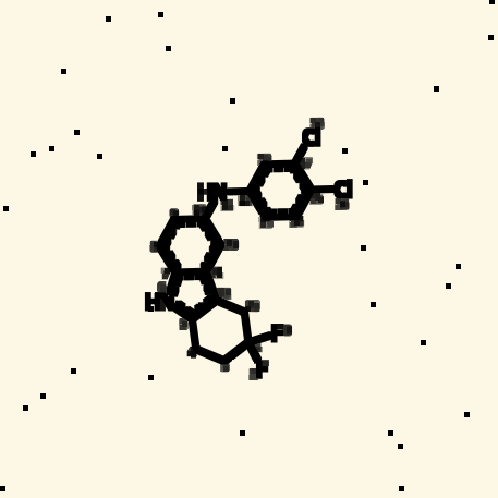 FC1(F)CCc2[nH]c3ccc(Nc4ccc(Cl)c(Cl)c4)cc3c2C1